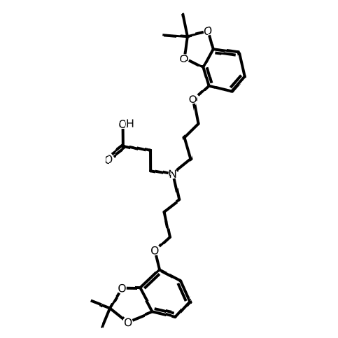 CC1(C)Oc2cccc(OCCCN(CCCOc3cccc4c3OC(C)(C)O4)CCC(=O)O)c2O1